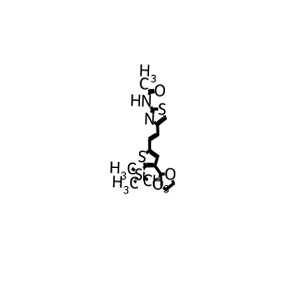 CC(=O)Nc1nc(/C=C/c2cc(C3OCCO3)c([Si](C)(C)C)s2)cs1